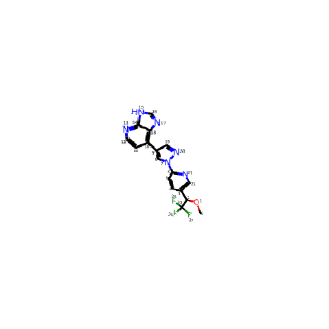 COC(c1ccc(-n2cc(-c3ccnc4[nH]cnc34)cn2)nc1)C(F)(F)F